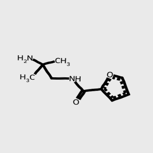 CC(C)(N)CNC(=O)c1ccco1